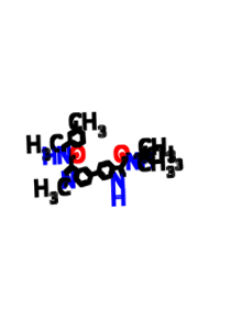 Cc1cccc([C@H](C)NC(=O)c2cn(C)c3ccc(-c4ccc5c(C(=O)NCC(C)(C)C)c[nH]c5c4)cc23)c1